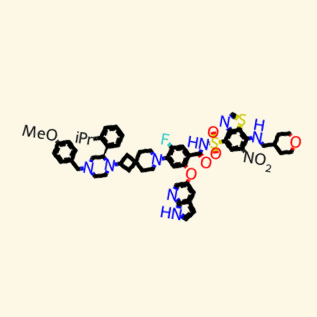 COc1ccc(CN2CCN(C3CC4(CCN(c5cc(Oc6cnc7[nH]ccc7c6)c(C(=O)NS(=O)(=O)c6cc([N+](=O)[O-])c(NCC7CCOCC7)c7scnc67)cc5F)CC4)C3)[C@H](c3ccccc3C(C)C)C2)cc1